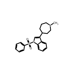 CN1CCCC(c2cn(S(=O)(=O)c3ccccc3)c3ccccc23)CC1